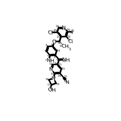 C[C@H](Oc1ccc(N)c(C(=N)c2cnc(N3CC(O)C3)c(C#N)c2)c1)c1c(Cl)cnc(F)c1Cl